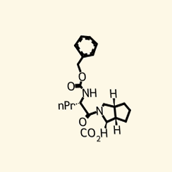 CCC[C@H](NC(=O)OCc1ccccc1)C(=O)N1C[C@@H]2CCC[C@@H]2[C@H]1C(=O)O